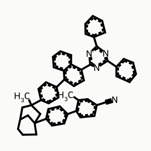 Cc1cc(C#N)ccc1-c1ccc(C23CCCC(CC(C)(c4ccc(-c5ccc(-c6nc(-c7ccccc7)nc(-c7ccccc7)n6)c6ccccc56)cc4)C2)C3)cc1